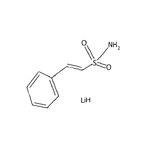 NS(=O)(=O)C=Cc1ccccc1.[LiH]